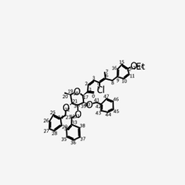 C=C(/C=C\C(Cl)=C(/C)Cc1ccc(OCC)cc1)[C@@H]1O[C@H](C)[C@@H](OCc2ccccc2)[C@H](OCc2ccccc2)[C@H]1OCc1ccccc1